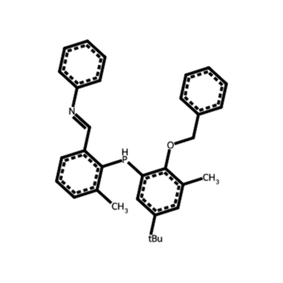 Cc1cc(C(C)(C)C)cc(Pc2c(C)cccc2/C=N/c2ccccc2)c1OCc1ccccc1